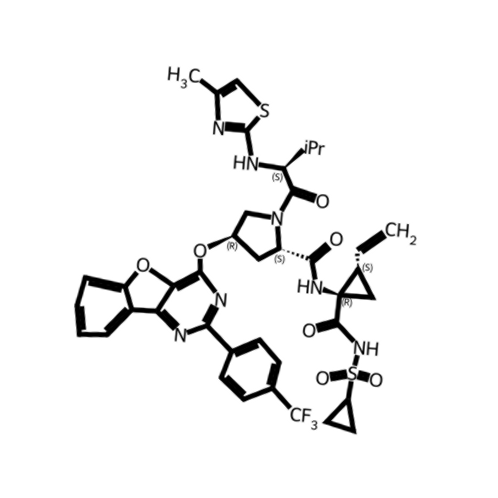 C=C[C@@H]1C[C@]1(NC(=O)[C@@H]1C[C@@H](Oc2nc(-c3ccc(C(F)(F)F)cc3)nc3c2oc2ccccc23)CN1C(=O)[C@@H](Nc1nc(C)cs1)C(C)C)C(=O)NS(=O)(=O)C1CC1